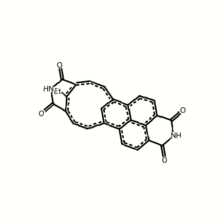 CCc1c2ccc3cc(ccc1C(=O)NC2=O)c1ccc2c4c(ccc3c41)C(=O)NC2=O